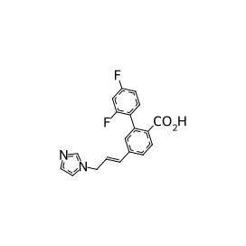 O=C(O)c1ccc(C=CCn2ccnc2)cc1-c1ccc(F)cc1F